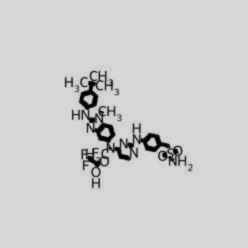 CN(c1ccc2c(c1)nc(Nc1ccc(C(C)(C)C)cc1)n2C)c1ccnc(Nc2ccc(CS(N)(=O)=O)cc2)n1.O=C(O)C(F)(F)F